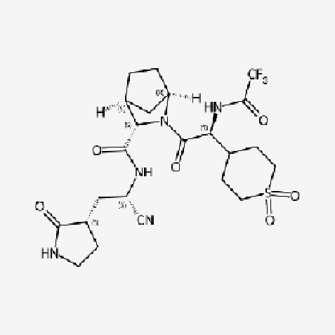 N#C[C@H](C[C@@H]1CCNC1=O)NC(=O)[C@@H]1[C@H]2CC[C@H](C2)N1C(=O)[C@@H](NC(=O)C(F)(F)F)C1CCS(=O)(=O)CC1